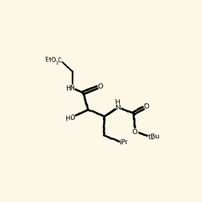 CCOC(=O)CNC(=O)C(O)C(CC(C)C)NC(=O)OC(C)(C)C